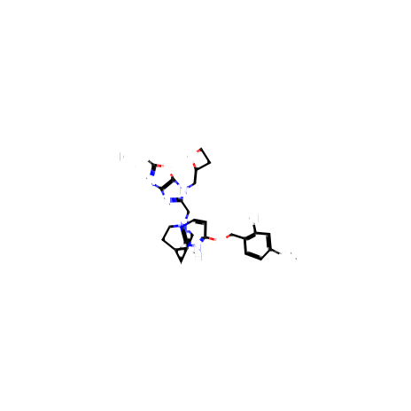 Cc1cc(C#N)ccc1COc1cccc([C@]23CCN(Cc4nc5nc(C(=O)O)oc5n4CC4CCO4)C[C@H]2C3)n1